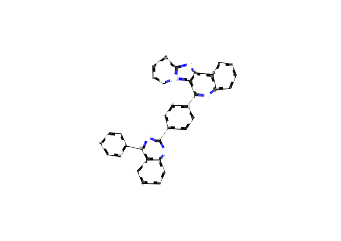 c1ccc(-c2nc(-c3ccc(-c4nc5ccccc5c5nc6ccccn6c45)cc3)nc3ccccc23)cc1